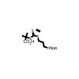 C=C.CCCCCCCCCCCCSC(=S)SC(C)(C)C(=O)O